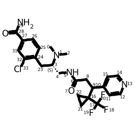 CN(C)[C@H](CNC(=O)CC(c1ccncc1)C1(C(F)(F)F)CC1)Cc1ccc(C(N)=O)cc1Cl